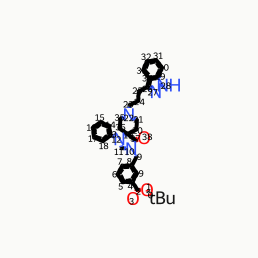 CC(C)(C)OC(=O)c1cccc(CN2CN(c3ccccc3)C3(CCN(CCCc4n[nH]c5ccccc45)CC3)C2=O)c1